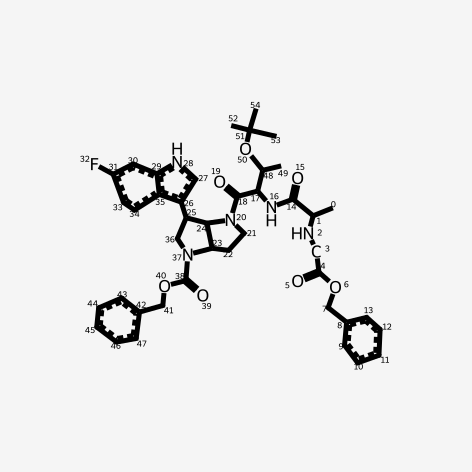 CC(NCC(=O)OCc1ccccc1)C(=O)NC(C(=O)N1CCC2C1C(c1c[nH]c3cc(F)ccc13)CN2C(=O)OCc1ccccc1)C(C)OC(C)(C)C